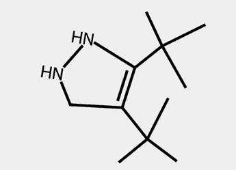 CC(C)(C)C1=C(C(C)(C)C)NNC1